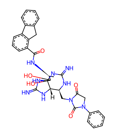 N=C1N[C@H]2[C@H](CN3C(=O)CN(c4ccccc4)C3=O)NC(=N)N3C[C@H](NC(=O)c4cccc5c4Cc4ccccc4-5)C(O)(O)[C@]23N1